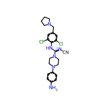 N#C/N=C(/Nc1c(Cl)cc(CN2CCCC2)cc1Cl)N1CCN(c2ccc(N)cc2)CC1